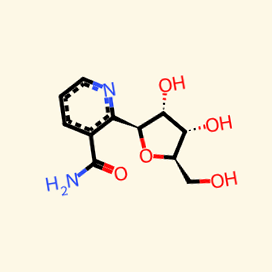 NC(=O)c1cccnc1[C@@H]1O[C@H](CO)[C@@H](O)[C@H]1O